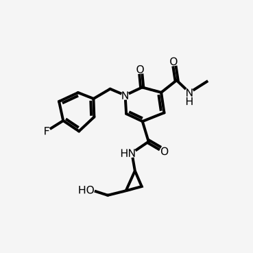 CNC(=O)c1cc(C(=O)NC2CC2CO)cn(Cc2ccc(F)cc2)c1=O